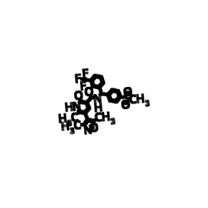 Cc1noc(C)c1-c1cc(C(=O)NC(c2ccc(S(C)(=O)=O)cc2)c2cccc(C(F)(F)F)c2)c(=O)[nH]c1C